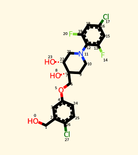 OCc1cc(OC[C@]2(O)CCN(c3c(F)cc(Cl)cc3F)C[C@H]2O)ccc1Cl